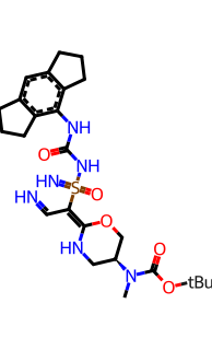 CN(C(=O)OC(C)(C)C)[C@H]1CN/C(=C(\C=N)S(=N)(=O)NC(=O)Nc2c3c(cc4c2CCC4)CCC3)OC1